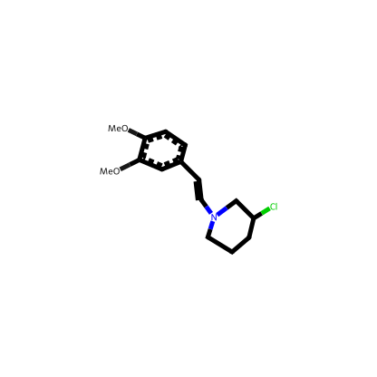 COc1ccc(C=CN2CCCC(Cl)C2)cc1OC